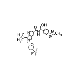 CCS(=O)(=O)c1ccc([C@H](CO)NC(=O)c2cnc3c(c2)CN(C[C@H]2CCC(C(F)(F)F)CO2)C3C(C)C)cc1